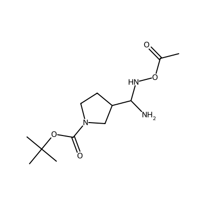 CC(=O)ONC(N)C1CCN(C(=O)OC(C)(C)C)C1